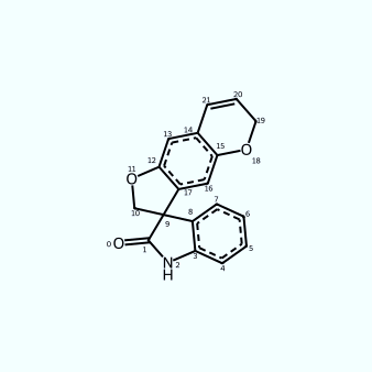 O=C1Nc2ccccc2C12COc1cc3c(cc12)OCC=C3